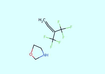 C1COCN1.C=C=C(C(F)(F)F)C(F)(F)F